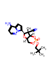 CC(C)(C)CO[P@]1(=O)OC[C@H]2O[C@@H](c3ccc4c(N)ccnn34)[C@](C)(C#N)[C@@H]2O1